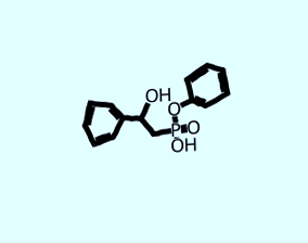 O=P(O)(CC(O)c1ccccc1)Oc1ccccc1